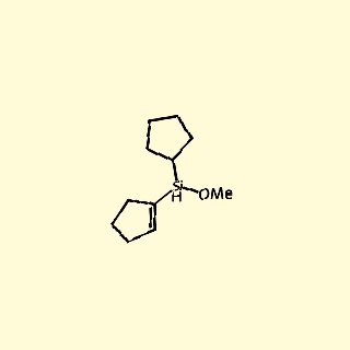 CO[SiH](C1=CCCC1)C1CCCC1